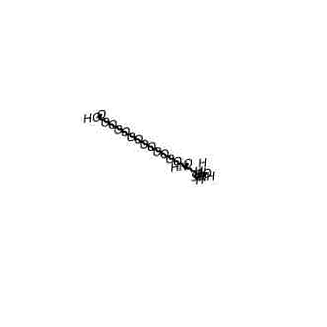 O=C(O)CCOCCOCCOCCOCCOCCOCCOCCOCCOCCOCCOCCOCCNC(=O)CCCC[C@@H]1SC[C@@H]2NC(=O)N[C@@H]21